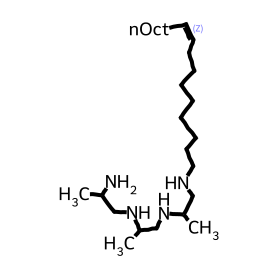 CCCCCCCC/C=C\CCCCCCCCNCC(C)NCC(C)NCC(C)N